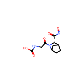 O=NC(=O)[C@@H]1C2CCC(C2)N1C(=O)CNC(=O)O